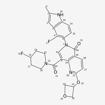 Cc1cc2c(F)c(-n3cc(C(=O)N4CCC(F)CC4)c4nc(OC5COC5)ccc4c3=O)ccc2[nH]1